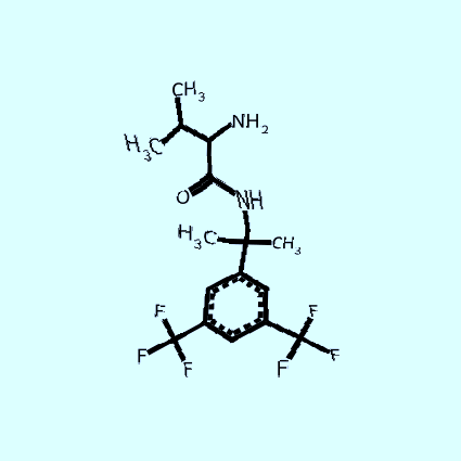 CC(C)C(N)C(=O)NC(C)(C)c1cc(C(F)(F)F)cc(C(F)(F)F)c1